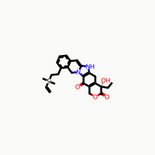 C=C[Si](C)(C)CCc1cccc2c1CN1C(=C2)NC2=C1C(=O)C1=C(C2)[C@@](O)(CC)C(=O)OC1